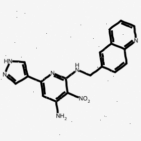 Nc1cc(-c2cn[nH]c2)nc(NCc2ccc3ncccc3c2)c1[N+](=O)[O-]